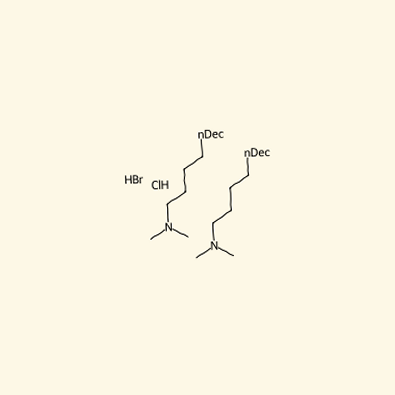 Br.CCCCCCCCCCCCCCN(C)C.CCCCCCCCCCCCCCN(C)C.Cl